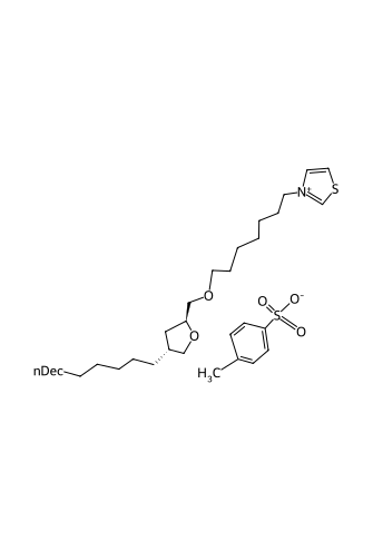 CCCCCCCCCCCCCCC[C@H]1CO[C@H](COCCCCCCC[n+]2ccsc2)C1.Cc1ccc(S(=O)(=O)[O-])cc1